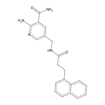 NC(=O)c1cc(CNC(=O)[CH]Cc2cccc3ccccc23)cnc1N